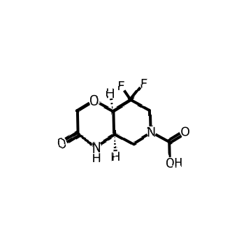 O=C1CO[C@@H]2[C@@H](CN(C(=O)O)CC2(F)F)N1